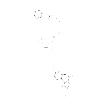 CCCCc1nc2c(N)nc3cc(CCCCCNC(=O)[C@H](CS(=O)(=O)O)NC(=O)CC(C)(C)COCC(C)(C)CC(=O)Oc4c(F)c(F)cc(F)c4F)ccc3c2[nH]1